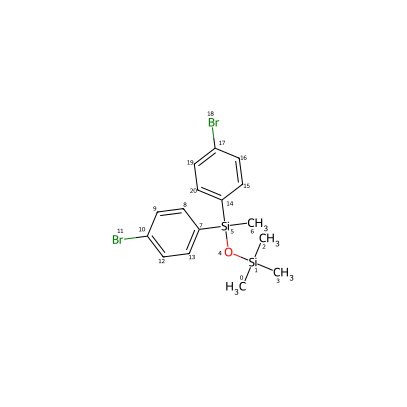 C[Si](C)(C)O[Si](C)(c1ccc(Br)cc1)c1ccc(Br)cc1